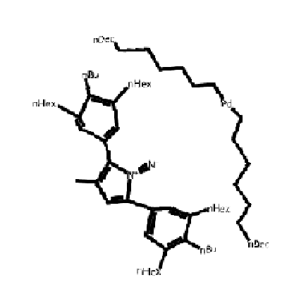 CCCCCCCCCCCCCCC[CH2][Pd][CH2]CCCCCCCCCCCCCCC.CCCCCCc1cc(C2=CC(C)=C(c3cc(CCCCCC)c(CCCC)c(CCCCCC)c3)[N+]2=[N-])cc(CCCCCC)c1CCCC